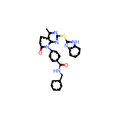 Cc1nc(Sc2nc3ccccc3[nH]2)nc2c1ccc(=O)n2-c1ccc(C(=O)NCc2ccccc2)cc1